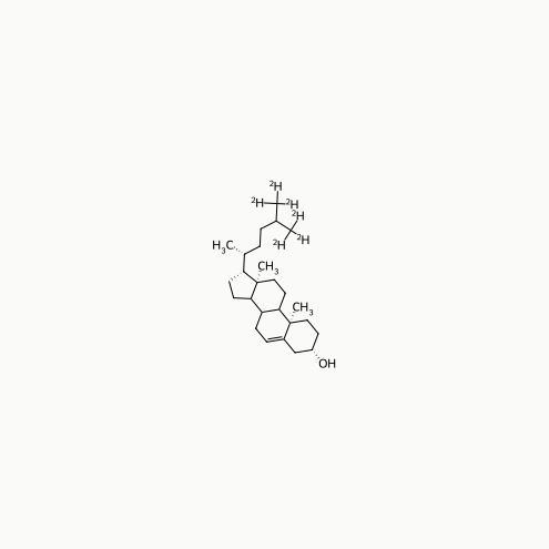 [2H]C([2H])([2H])C(CC[C@@H](C)[C@H]1CCC2C3CC=C4C[C@@H](O)CC[C@]4(C)C3CC[C@@]21C)C([2H])([2H])[2H]